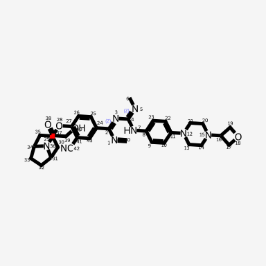 C=N/C(=N\C(=N/C)Nc1ccc(N2CCN(C3COC3)CC2)cc1)c1ccc(OC2CC3CCC(C2)N3C(=O)CO)c(C#N)c1